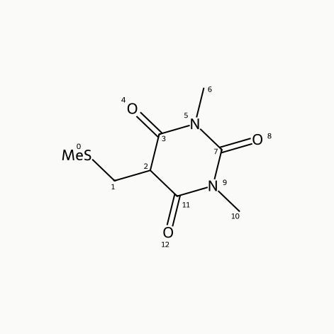 CSCC1C(=O)N(C)C(=O)N(C)C1=O